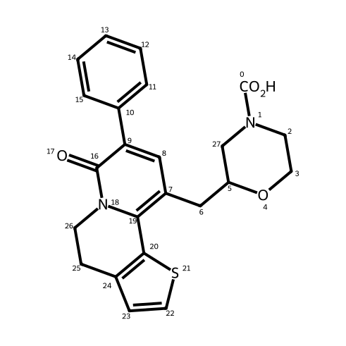 O=C(O)N1CCOC(Cc2cc(-c3ccccc3)c(=O)n3c2-c2sccc2CC3)C1